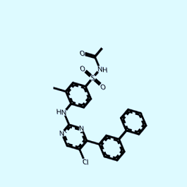 CC(=O)NS(=O)(=O)c1ccc(Nc2ncc(Cl)c(-c3cccc(-c4ccccc4)c3)n2)c(C)c1